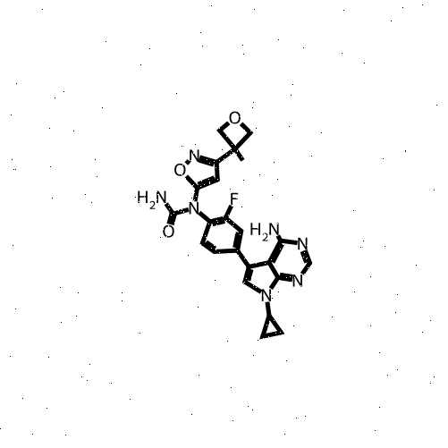 CC1(c2cc(N(C(N)=O)c3ccc(-c4cn(C5CC5)c5ncnc(N)c45)cc3F)on2)COC1